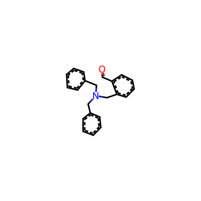 O=Cc1ccccc1CN(Cc1ccccc1)Cc1ccccc1